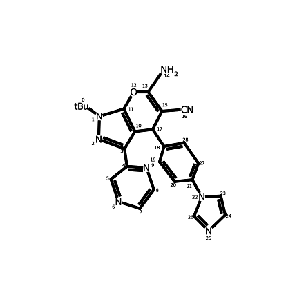 CC(C)(C)n1nc(-c2cnccn2)c2c1OC(N)=C(C#N)C2c1ccc(-n2ccnc2)cc1